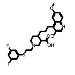 COc1ccc2ncc(Cl)c(CCCC3CCN(CCSc4cc(F)cc(F)c4)CC3C(=O)O)c2c1